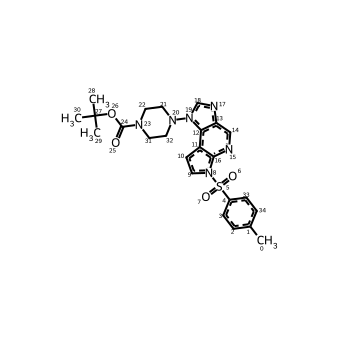 Cc1ccc(S(=O)(=O)n2ccc3c4c(cnc32)ncn4N2CCN(C(=O)OC(C)(C)C)CC2)cc1